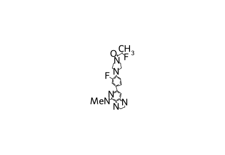 CNc1nc(-c2ccc(N3CCN(C(=O)C(C)F)CC3)c(F)c2)cc2c1=NCCN=2